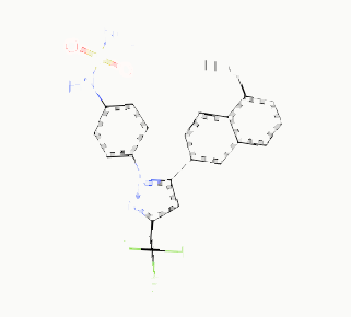 Cc1cccc2cc(-c3cc(C(F)(F)F)nn3-c3ccc(NS(N)(=O)=O)cc3)ccc12